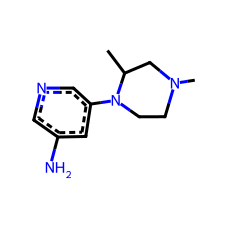 CC1CN(C)CCN1c1cncc(N)c1